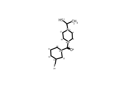 CC(S)N1CCN(C(=O)N2CCCC(F)C2)CC1